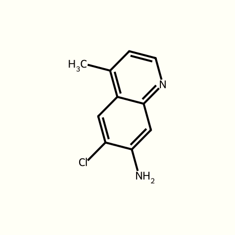 Cc1ccnc2cc(N)c(Cl)cc12